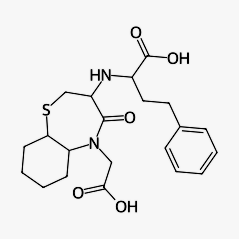 O=C(O)CN1C(=O)C(NC(CCc2ccccc2)C(=O)O)CSC2CCCCC21